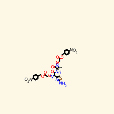 C[C@H]1[C@H](NC(=O)C(=NOCC(=O)OCc2ccc([N+](=O)[O-])cc2)c2csc(N)n2)C(=O)N1OCC(=O)OCc1ccc([N+](=O)[O-])cc1